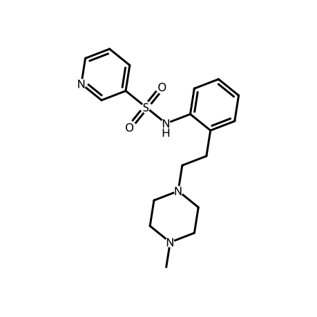 CN1CCN(CCc2ccccc2NS(=O)(=O)c2cccnc2)CC1